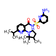 CC(C)c1ccc(C(=O)NS(=O)(=O)c2cccc(N)n2)c(N2CCC(C)C2(C)C)n1